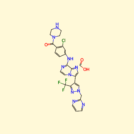 O=C(c1ccc(Nc2nccn3c(-c4cn(Cc5ncccn5)nc4C(F)(F)F)cnc23)cc1Cl)N1CCNCC1.O=CO